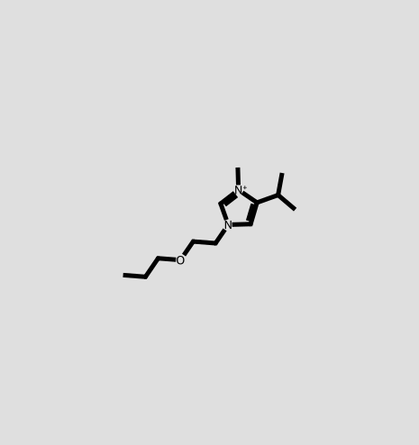 CCCOCCn1cc(C(C)C)[n+](C)c1